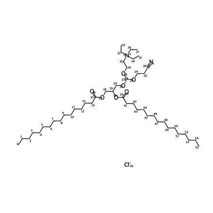 CCCCCCCCCCCCCCCC(=O)OCC(COP(OCCC#N)OCC[N+](CC)(CC)CC)OC(=O)CCCCCCCCCCCCCCC.[Cl-]